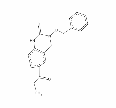 CCC(=O)c1ccc2c(c1)CN(OCc1ccccc1)C(=O)N2